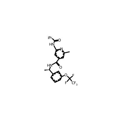 Cc1cc(C(=O)N[C@H](C)c2cccc(OC(F)(F)C(F)(F)F)c2)cc(NC(=O)C(C)C)n1